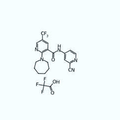 N#Cc1cc(NC(=O)c2cc(C(F)(F)F)cnc2N2CCCCCC2)ccn1.O=C(O)C(F)(F)F